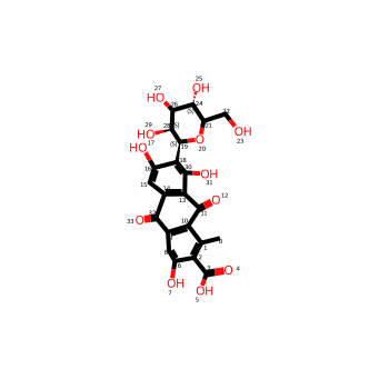 Cc1c(C(=O)O)c(O)cc2c1C(=O)c1c(cc(O)c([C@@H]3OC(CO)[C@@H](O)C(O)[C@@H]3O)c1O)C2=O